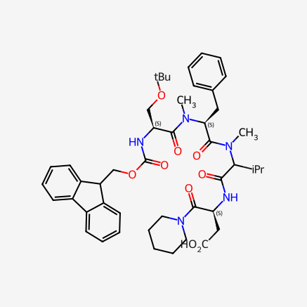 CC(C)C(C(=O)N[C@@H](CC(=O)O)C(=O)N1CCCCC1)N(C)C(=O)[C@H](Cc1ccccc1)N(C)C(=O)[C@H](COC(C)(C)C)NC(=O)OCC1c2ccccc2-c2ccccc21